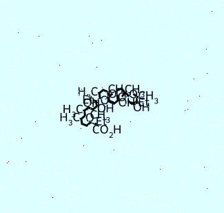 CCC(C(O)[C@@H](C)[C@@H](O)[C@H](C)[C@@H]1O[C@@H](C(CC)C(=O)O)CC[C@@H]1C)[C@H]1O[C@]2(C=C[C@@H](O)[C@]3(CC[C@@](C)([C@H]4CC[C@](O)(CC)[C@H](C)O4)O3)O2)[C@H](C)C[C@@H]1C